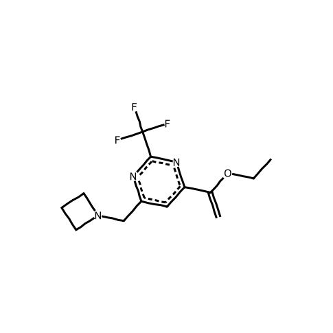 C=C(OCC)c1cc(CN2CCC2)nc(C(F)(F)F)n1